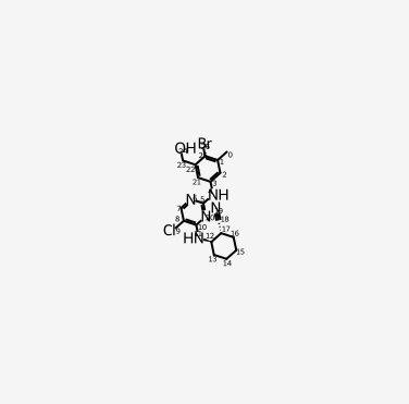 Cc1cc(Nc2ncc(Cl)c(N[C@@H]3CCCC[C@H]3C#N)n2)cc(CO)c1Br